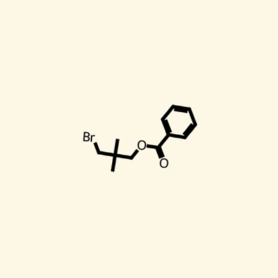 CC(C)(CBr)COC(=O)c1ccccc1